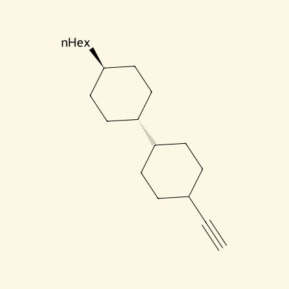 C#CC1CCC([C@H]2CC[C@H](CCCCCC)CC2)CC1